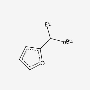 CCCCC(CC)c1ccco1